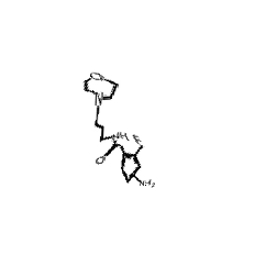 Nc1ccc(C(=O)NCCCN2CCOCC2)c(F)c1